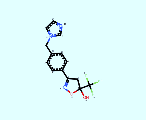 OC1(C(F)(F)F)CC(c2ccc(Cn3ccnc3)cc2)=NO1